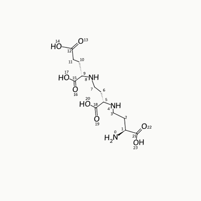 N[C@@H](CCN[C@@H](CCN[C@@H](CCC(=O)O)C(=O)O)C(=O)O)C(=O)O